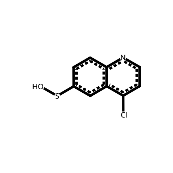 OSc1ccc2nccc(Cl)c2c1